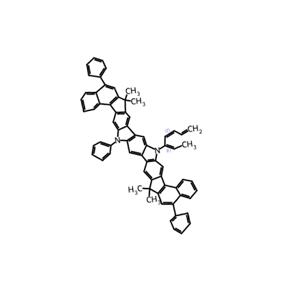 C=C/C=C\C(=C/C)n1c2cc3c(cc2c2cc4c(cc21)c1cc2c(cc1n4-c1ccccc1)-c1c(cc(-c4ccccc4)c4ccccc14)C2(C)C)C(C)(C)c1cc(-c2ccccc2)c2ccccc2c1-3